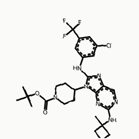 CC1(Nc2ncc3nc(Nc4cc(Cl)cc(C(F)(F)F)c4)n(C4CCN(C(=O)OC(C)(C)C)CC4)c3n2)CCC1